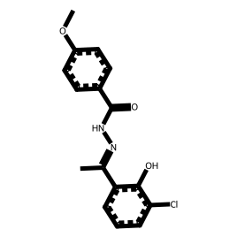 COc1ccc(C(=O)N/N=C(\C)c2cccc(Cl)c2O)cc1